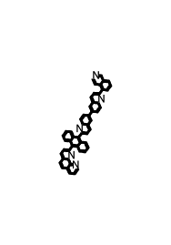 c1cc(-c2ccc3cc(-c4ccc5nc(-c6c7ccccc7c(-c7ccc8ccc9cccnc9c8n7)c7ccccc67)ccc5c4)ccc3n2)c2ccncc2c1